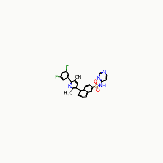 Cc1nc(-c2cc(F)cc(F)c2)c(C#N)cc1-c1cccc2cc(S(=O)(=O)Nc3ccncn3)ccc12